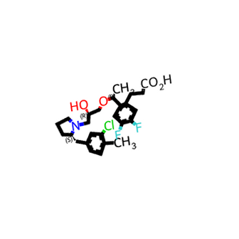 Cc1ccc(C[C@@H]2CCCN2C[C@@H](O)CO[C@H](C)c2cc(F)c(F)cc2CCC(=O)O)cc1Cl